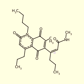 CCCCn1c2c(c(CCC)cc1=O)C(=O)C(/C(=C\C(=O)NC)CCC)=C(C)C2=O